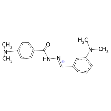 CN(C)c1ccc(C(=O)N/N=C/c2cccc(N(C)C)c2)cc1